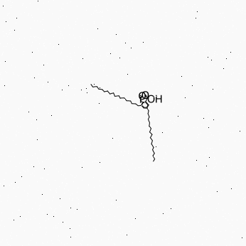 CCCCCCCCCCCCCCCCCCc1cc(CCCCCCCCCCCCCCCCCC)c(I=O)c(C(=O)O)c1